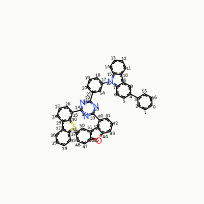 c1ccc(-c2ccc3c(c2)c2ccccc2n3-c2cccc(-c3nc(-c4cccc5c4sc4ccccc45)nc(-c4cccc5oc6ccccc6c45)n3)c2)cc1